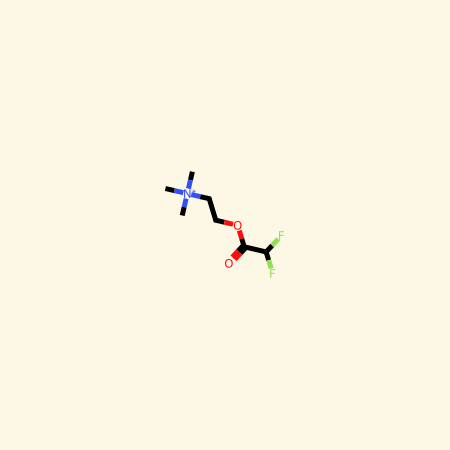 C[N+](C)(C)CCOC(=O)C(F)F